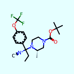 [C-]#[N+]C(CC)(c1ccc(OC(F)(F)F)cc1)N1CCN(C(=O)OC(C)(C)C)C[C@@H]1C